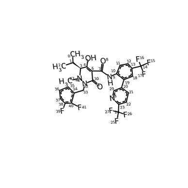 CC(C)[C@H]1C(O)=C(C(=O)Nc2ccc(C(F)(F)F)cc2-c2ccc(C(F)(F)F)nc2)C(=O)N(Cc2cccc(F)c2F)N1C